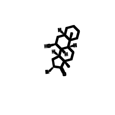 C[C@]12CCCC[C@@H]1C[C@H](O)[C@@H]1[C@@H]2CC[C@]2(C)C(=O)[C@H](Br)C[C@@H]12